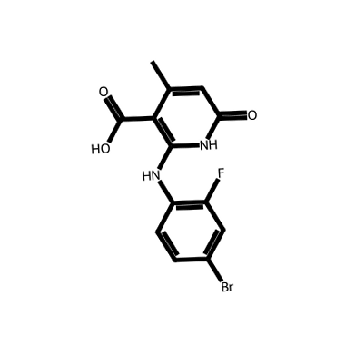 Cc1cc(=O)[nH]c(Nc2ccc(Br)cc2F)c1C(=O)O